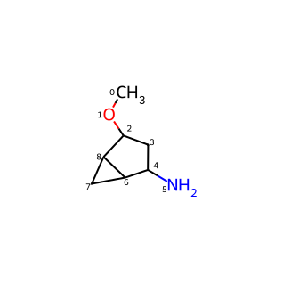 COC1CC(N)C2CC12